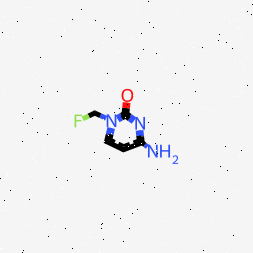 Nc1ccn(CF)c(=O)n1